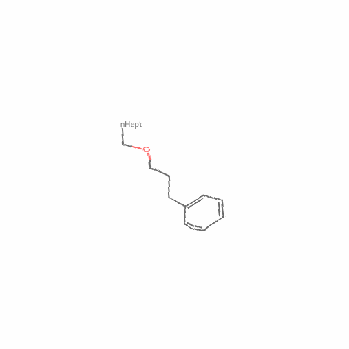 CCCCCCCCOCCCc1cc[c]cc1